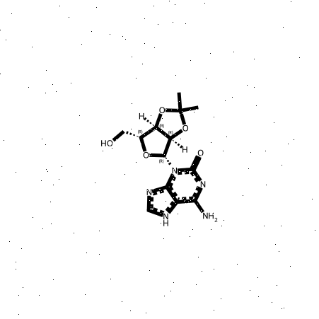 CC1(C)O[C@@H]2[C@H](O1)[C@@H](CO)O[C@H]2n1c(=O)nc(N)c2[nH]cnc21